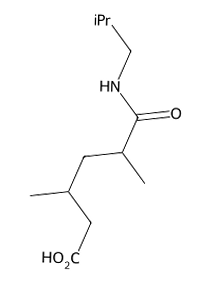 CC(C)CNC(=O)C(C)CC(C)CC(=O)O